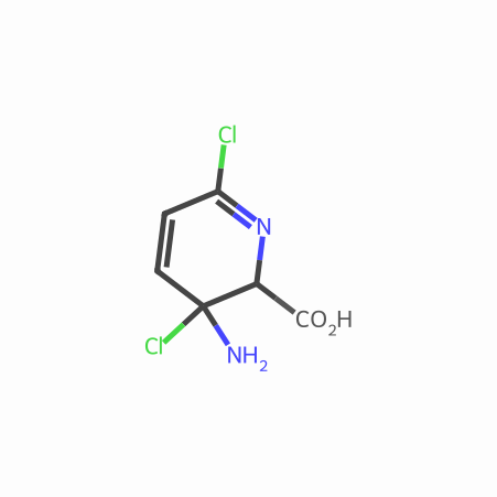 NC1(Cl)C=CC(Cl)=NC1C(=O)O